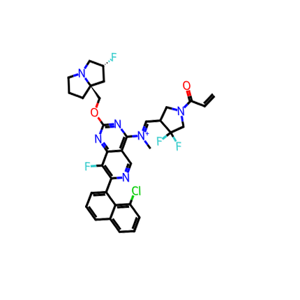 C=CC(=O)N1CC(/C=[N+](\C)c2nc(OC[C@@]34CCCN3C[C@H](F)C4)nc3c(F)c(-c4cccc5cccc(Cl)c45)ncc23)C(F)(F)C1